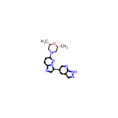 C[C@@H]1CN(c2ccc3ncc(-c4cnc5[nH]ncc5c4)n3n2)C[C@H](C)O1